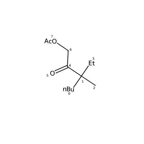 CCCCC(C)(CC)C(=O)COC(C)=O